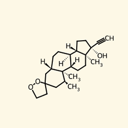 C#C[C@]1(O)CC[C@H]2[C@@H]3CC[C@H]4CC5(CCOO5)C[C@H](C)[C@]4(C)[C@H]3CC[C@@]21C